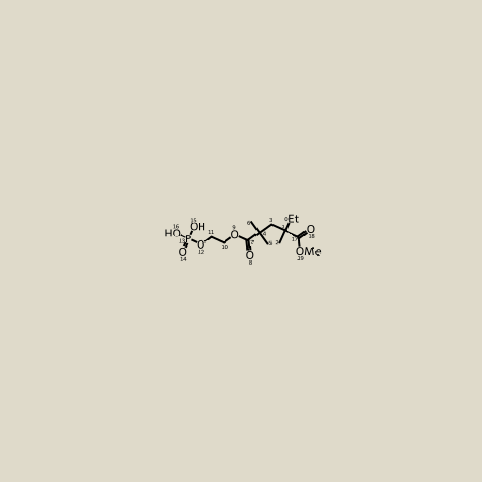 CCC(C)(CC(C)(C)C(=O)OCCOP(=O)(O)O)C(=O)OC